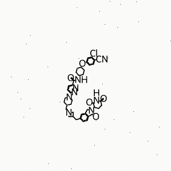 N#Cc1ccc(OC2CCC(NC(=O)c3ccc(N4CCC(CN5CC(Cc6ccc7c(c6)CN(C6CCC(=O)NC6=O)C7=O)C5)CC4)nn3)CC2)cc1Cl